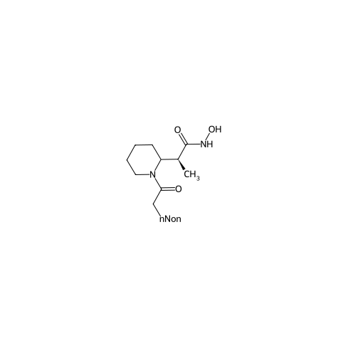 CCCCCCCCCCC(=O)N1CCCCC1[C@H](C)C(=O)NO